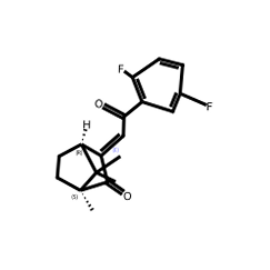 CC1(C)[C@H]2CC[C@]1(C)C(=O)/C2=C/C(=O)c1cc(F)ccc1F